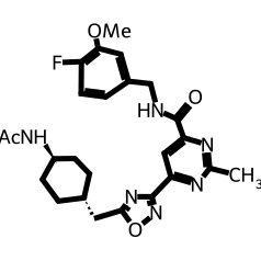 COc1cc(CNC(=O)c2cc(-c3noc(C[C@H]4CC[C@H](NC(C)=O)CC4)n3)nc(C)n2)ccc1F